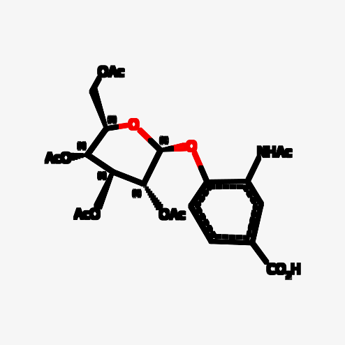 CC(=O)Nc1cc(C(=O)O)ccc1O[C@@H]1O[C@H](COC(C)=O)[C@@H](OC(C)=O)[C@H](OC(C)=O)[C@H]1OC(C)=O